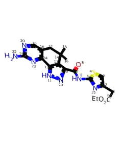 CCOC(=O)Cc1csc(NC(=O)c2n[nH]c3c2C(C)(C)Cc2cnc(N)nc2-3)n1